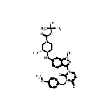 COc1ccc(Cn2c(=O)ccn(-c3nn(C)c4cc(N[C@@H]5CCN(C(=O)OC(C)(C)C)C[C@H]5C)ccc34)c2=O)cc1